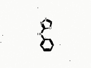 c1ccc(Nc2nnco2)cc1